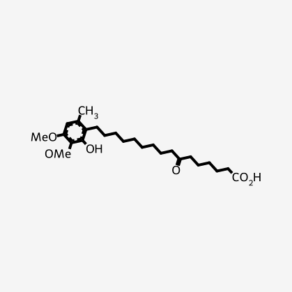 COc1cc(C)c(CCCCCCCCCC(=O)CCCCCC(=O)O)c(O)c1OC